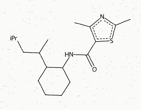 Cc1nc(C)c(C(=O)NC2CCCCC2C(C)CC(C)C)s1